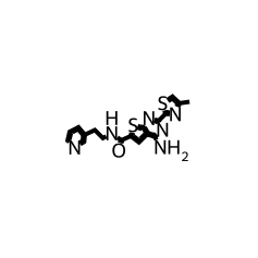 Cc1csc(-c2nc(N)c3cc(C(=O)NCCc4cccnc4)sc3n2)n1